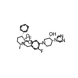 C[C@H]1CC[C@H](c2ccccc2)S(=O)(=O)N1Cc1cc(F)c(N2CC[C@@H](n3cnnc3)[C@@H](O)C2)cc1F